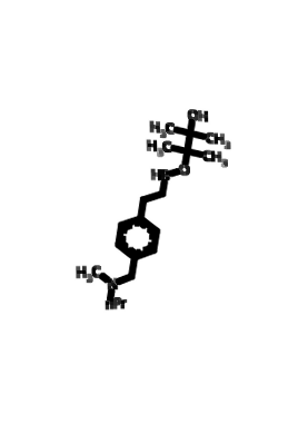 CCCN(C)Cc1ccc(CCBOC(C)(C)C(C)(C)O)cc1